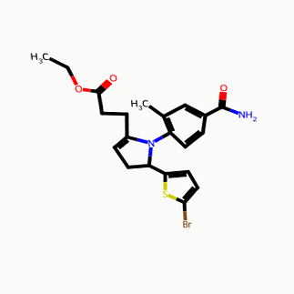 CCOC(=O)CCC1=CCC(c2ccc(Br)s2)N1c1ccc(C(N)=O)cc1C